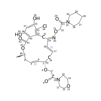 C[C@@H]1C/C=C/[C@@H](OCC(=O)N2CCOCC2)C/C=C/C(=NOCC(=O)N2CCCCC2)Cc2c(Cl)c(O)cc(O)c2C(=O)O1